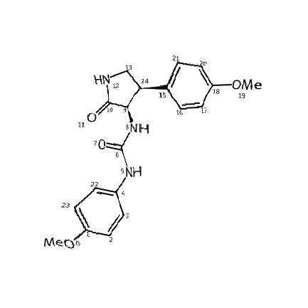 COc1ccc(NC(=O)N[C@H]2C(=O)NC[C@H]2c2ccc(OC)cc2)cc1